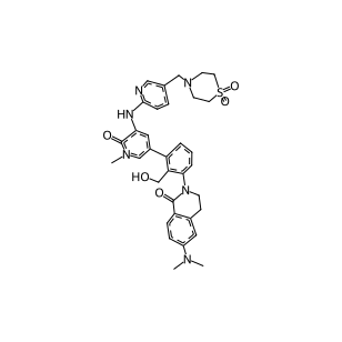 CN(C)c1ccc2c(c1)CCN(c1cccc(-c3cc(Nc4ccc(CN5CCS(=O)(=O)CC5)cn4)c(=O)n(C)c3)c1CO)C2=O